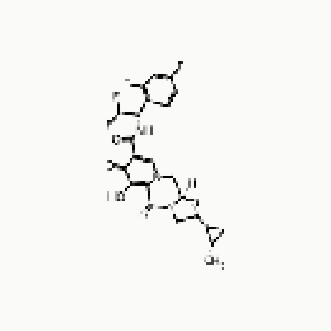 C[C@H]1C[C@@H]1C1CN2C(=O)c3c(O)c(=O)c(C(=O)N[C@@H](c4ccc(F)cc4F)C(F)F)cn3C[C@H]2O1